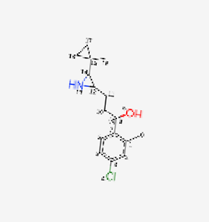 Cc1cc(Cl)ccc1[C@H](O)CCC1NC1C1(C)CC1